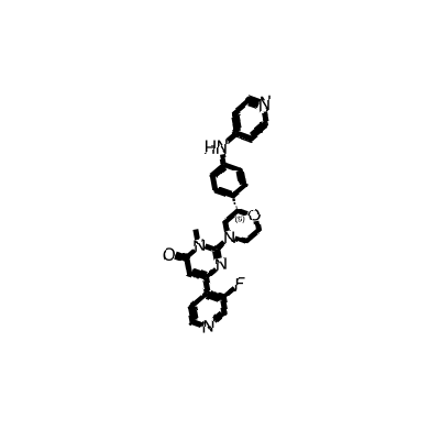 Cn1c(N2CCO[C@@H](c3ccc(Nc4ccncc4)cc3)C2)nc(-c2ccncc2F)cc1=O